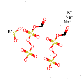 O=COS(=O)(=O)OOS(=O)(=O)[O-].O=COS(=O)(=O)OOS(=O)(=O)[O-].[K+].[K+].[Na+].[Na+].[O-]S[O-]